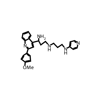 COc1ccc(-c2cc(C(N)CCNCCCNc3ccncc3)c3ccccc3n2)cc1